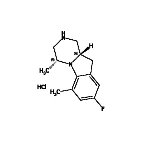 Cc1cc(F)cc2c1N1[C@H](CNC[C@H]1C)C2.Cl